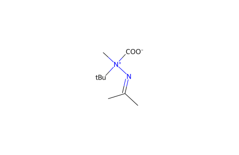 CC(C)=N[N+](C)(C(=O)[O-])C(C)(C)C